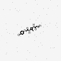 CCOCC(=O)NC1=C(C)C(NC(=O)COc2ccc(Cl)cc2)C1